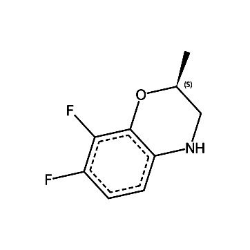 C[C@H]1CNc2ccc(F)c(F)c2O1